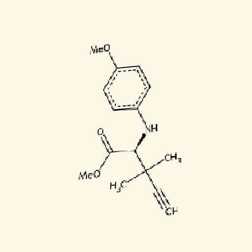 C#CC(C)(C)[C@H](Nc1ccc(OC)cc1)C(=O)OC